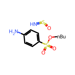 CCCCOS(=O)(=O)c1ccc(N)cc1.N=S=O